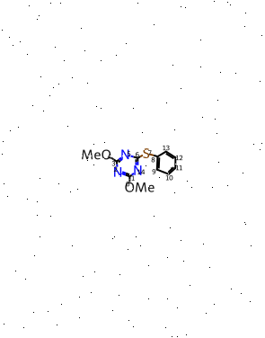 COc1nc(OC)nc(Sc2cc[c]cc2)n1